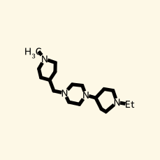 CCN1CCC(N2CCN(CC3CCN(C)CC3)CC2)CC1